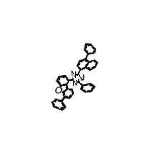 c1ccc(-c2nc(-c3ccc(-c4ccccc4)c4ccccc34)nc(-c3cccc4oc5c(-c6ccccc6)cccc5c34)n2)cc1